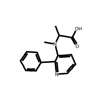 CC(C(=O)O)N(C)c1cccnc1-c1ccccc1